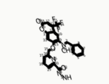 CN(Cc1ccccc1)c1cc2c(C(F)(F)F)cc(=O)oc2cc1OCc1cccc(C(=O)N=N)n1